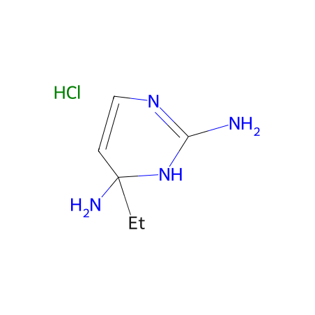 CCC1(N)C=CN=C(N)N1.Cl